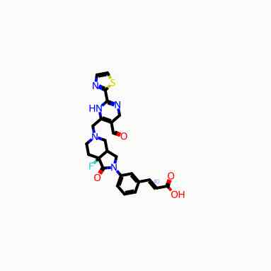 O=CC1=C(CN2CCC3(F)C(=O)N(c4cccc(/C=C/C(=O)O)c4)CC3C2)NC(c2nccs2)=NC1